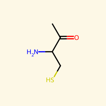 CC(=O)C(N)CS